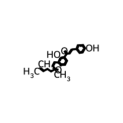 CC(C)=CCCC1(C)C=Cc2c(ccc(C(=O)/C=C/c3ccc(O)cc3)c2O)O1